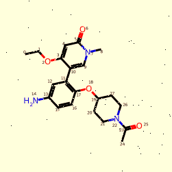 CCOc1cc(=O)n(C)cc1-c1cc(N)ccc1OC1CCN(C(C)=O)CC1